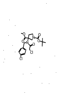 COC(=O)C1(N(Cc2ccc(Cl)cc2)C(=O)CCl)CCN(C(=O)OC(C)(C)C)C1